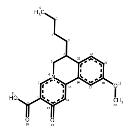 CCCCC1Cn2cc(C(=O)O)c(=O)cc2-c2cc(OC)ccc21